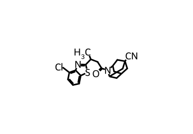 CC(CC(=O)N1C2CC3CC1CC(C#N)(C3)C2)c1nc2c(Cl)cccc2s1